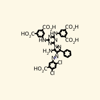 Nc1c(/N=N/c2cc(C(=O)O)c(Cl)cc2Cl)c(-c2ccccc2)nn1-c1nc(Nc2cc(C(=O)O)cc(C(=O)O)c2)nc(Nc2cc(C(=O)O)cc(C(=O)O)c2)n1